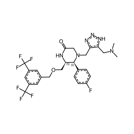 CN(C)Cc1[nH]nnc1CN1CC(=O)N[C@H](COCc2cc(C(F)(F)F)cc(C(F)(F)F)c2)[C@@H]1c1ccc(F)cc1